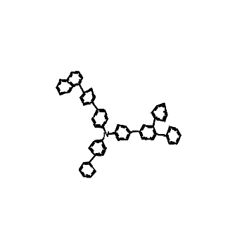 c1ccc(-c2ccc(N(c3ccc(-c4ccc(-c5cccc6ccccc56)cc4)cc3)c3ccc(-c4ccc(-c5ccccc5)c(-c5ccccc5)c4)cc3)cc2)cc1